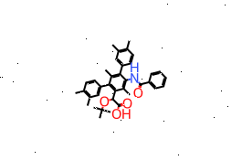 Cc1ccc(-c2c(C)c(-c3ccc(C)c(C)c3)c(C(OC(C)(C)C)C(=O)O)c(C)c2NC(=O)c2ccccc2)cc1C